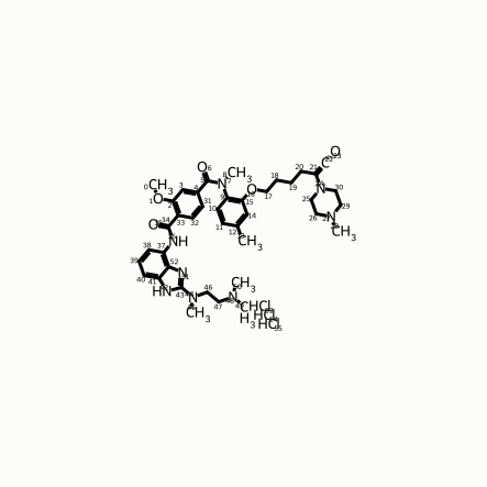 COc1cc(C(=O)N(C)c2ccc(C)cc2OCCCCC(=C=O)N2CCN(C)CC2)ccc1C(=O)Nc1cccc2[nH]c(N(C)CCN(C)C)nc12.Cl.Cl.Cl